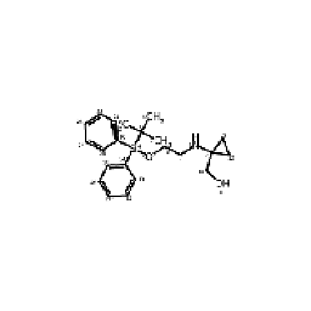 CC(C)(C)[Si](OCCNC1(CO)CC1)(c1ccccc1)c1ccccc1